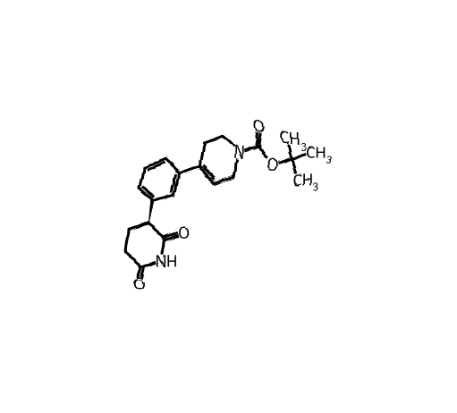 CC(C)(C)OC(=O)N1CC=C(c2cccc([C@@H]3CCC(=O)NC3=O)c2)CC1